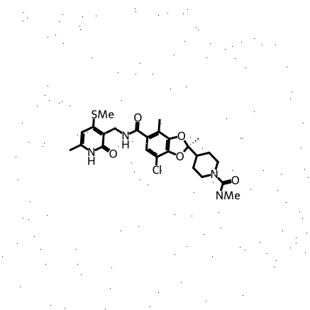 CNC(=O)N1CCC([C@@]2(C)Oc3c(Cl)cc(C(=O)NCc4c(SC)cc(C)[nH]c4=O)c(C)c3O2)CC1